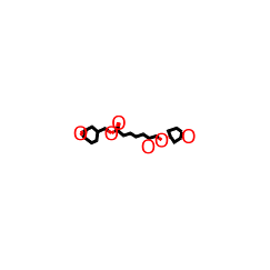 O=C(CCCCC(=O)OCC1CCC2OC2C1)COC1CCC2OC2C1